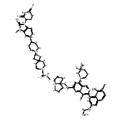 CCc1c(F)ccc2cc(OCOC)cc(-c3ncc4c(N5CCC[C@@](C)(O)C5)cc(OC[C@@]56CCCN5[C@H](COC(=O)N5CCC7(CC5)CC(N5CCC(c8ccc9c(c8)n(C)c(=O)n9C8CCC(=O)NC8=O)CC5)C7)CC6)nc4c3F)c12